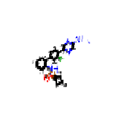 Nc1cnc(-c2ccc(-c3ccccc3N[S+]([O-])C3CCC3)cc2F)cn1